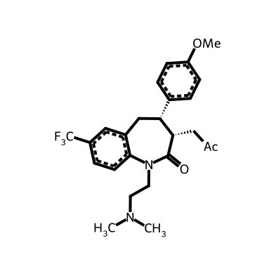 COc1ccc([C@H]2Cc3cc(C(F)(F)F)ccc3N(CCN(C)C)C(=O)[C@H]2CC(C)=O)cc1